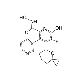 O=C(NO)c1nc(O)c(F)c(C2CCCC3(CC3)O2)c1-c1cccnc1